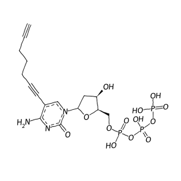 C#CCCCC#Cc1cn(C2C[C@@H](O)[C@@H](COP(=O)(O)OP(=O)(O)OP(=O)(O)O)O2)c(=O)nc1N